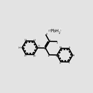 CC(C)=C(Cc1ccccc1)c1ccccc1.[PbH2]